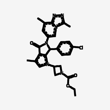 CCOC(=O)N1CC(n2cc(C)c3c2C(c2ccc(Cl)cc2)N(c2cc(C)c4nnc(C)n4c2)C3=O)C1